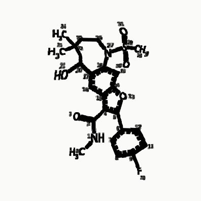 CNC(=O)c1c(-c2ccc(F)cc2)oc2cc3c(cc12)C(O)C(C)(C)CCN3S(C)(=O)=O